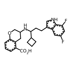 O=C(O)c1cccc2c1CC(NC(CCc1c[nH]c3c(F)cc(F)cc13)C1CCC1)CO2